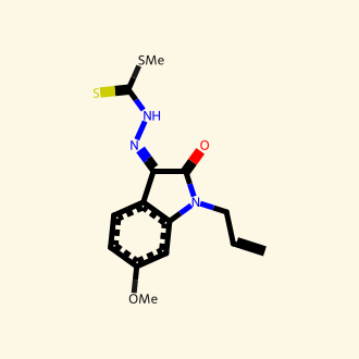 C=CCN1C(=O)C(=NNC(=S)SC)c2ccc(OC)cc21